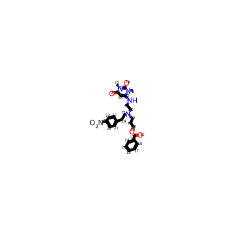 Cn1c(NCCN(CCCOC(=O)c2ccccc2)CCc2ccc([N+](=O)[O-])cc2)cc(=O)n(C)c1=O